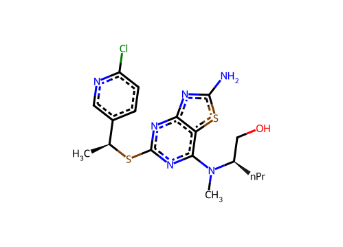 CCC[C@H](CO)N(C)c1nc(S[C@@H](C)c2ccc(Cl)nc2)nc2nc(N)sc12